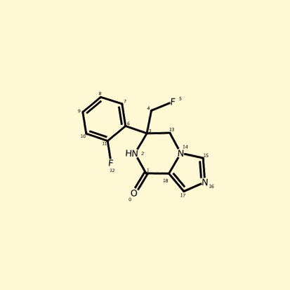 O=C1NC(CF)(c2ccccc2F)Cn2cncc21